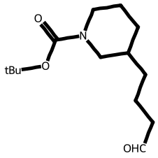 CC(C)(C)OC(=O)N1CCCC(CCCC=O)C1